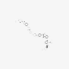 N#Cc1c(NS(=O)(=O)N2CC[C@@H](F)C2)ccc(F)c1Oc1ccc2ncn(-c3ccc(N4CCC(OC5CC(N6CCC(c7ccc8c(c7)CN(C7CCC(=O)NC7=O)C8=O)CC6)C5)CC4)cc3)c(=O)c2c1